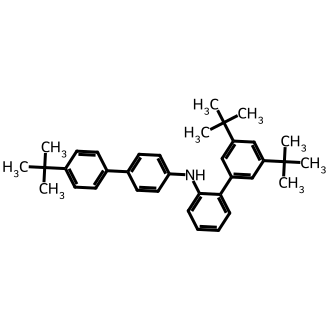 CC(C)(C)c1ccc(-c2ccc(Nc3ccccc3-c3cc(C(C)(C)C)cc(C(C)(C)C)c3)cc2)cc1